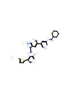 Cc1ccc(-c2cncc3[nH]c(-c4n[nH]c5ncc(-c6cncc(NC(=O)C7CCCCC7)c6)cc45)nc23)s1